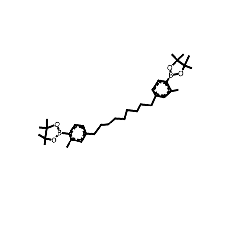 Cc1cc(CCCCCCCCCc2ccc(B3OC(C)(C)C(C)(C)O3)c(C)c2)ccc1B1OC(C)(C)C(C)(C)O1